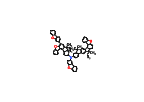 CC1(C)c2cc(N(c3ccc4c(c3)C(C)(C)c3cc(-c5ccc6c(c5)oc5ccccc56)c5oc6ccccc6c5c3-4)c3ccc4oc5ccccc5c4c3)ccc2-c2cc3c(cc21)-c1c(ccc2oc4ccccc4c12)C3(C)C